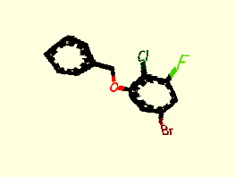 Fc1cc(Br)cc(OCc2ccccc2)c1Cl